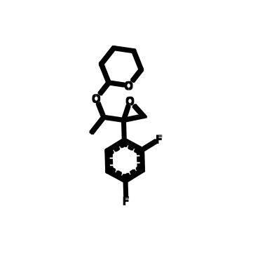 CC(OC1CCCCO1)C1(c2ccc(F)cc2F)CO1